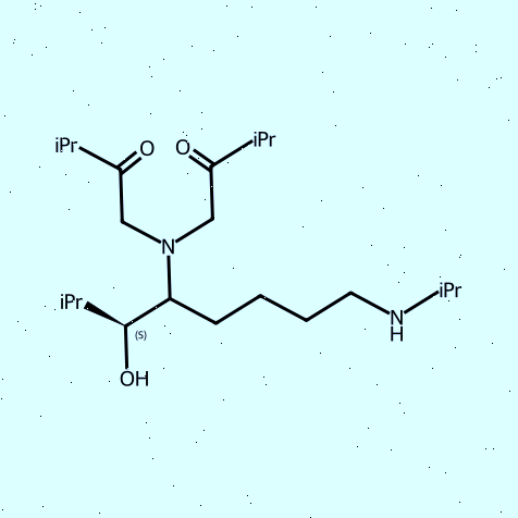 CC(C)NCCCCC([C@@H](O)C(C)C)N(CC(=O)C(C)C)CC(=O)C(C)C